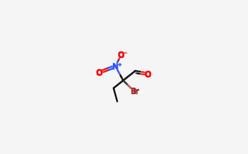 CCC(Br)(C=O)[N+](=O)[O-]